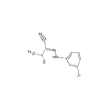 CC(=O)C(C#N)=NNc1cccc(Cl)c1